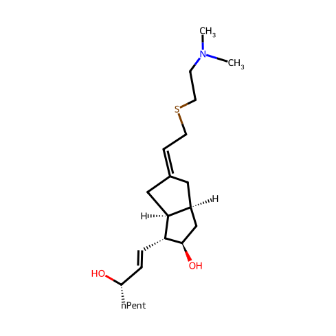 CCCCC[C@H](O)/C=C/[C@@H]1[C@H]2C/C(=C/CSCCN(C)C)C[C@H]2C[C@H]1O